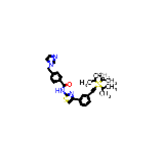 CC(C)S(C#Cc1cccc(-c2csc(NC(=O)c3ccc(Cn4ccnc4)cc3)n2)c1)(C(C)C)C(C)C